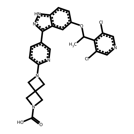 CC(Oc1ccc2[nH]nc(-c3ccc(N4CC5(CN(C(=O)O)C5)C4)nc3)c2c1)c1c(Cl)cncc1Cl